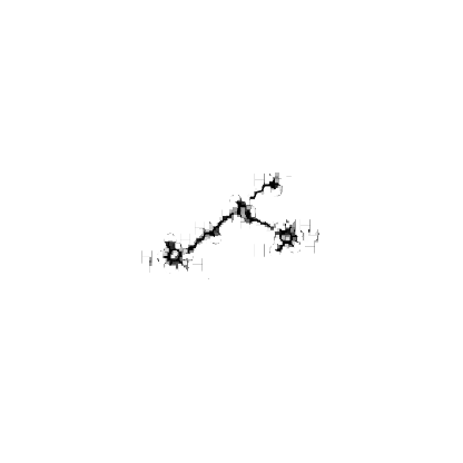 CCNC(=O)CCCCCNC(=O)[C@H](CCCCNC(=O)CCCCCOC1OC(CO)C(O)C(O)C1N)NC(=O)CCCCCOC1OC(CO)C(O)C(O)C1N